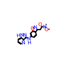 CON(C)C(=O)Cc1noc2cc(Nc3n[nH]c4cccnc34)ccc12